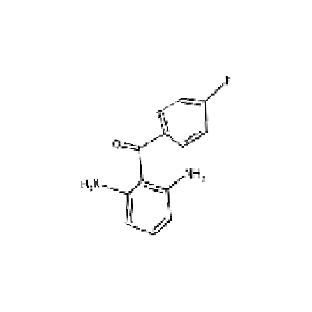 Nc1cccc(N)c1C(=O)c1ccc(F)cc1